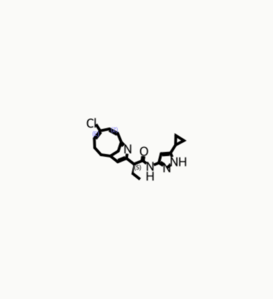 CC[C@H](C(=O)Nc1cc(C2CC2)[nH]n1)C1=CC2CC/C=C(Cl)\C=C/C(=N1)C2